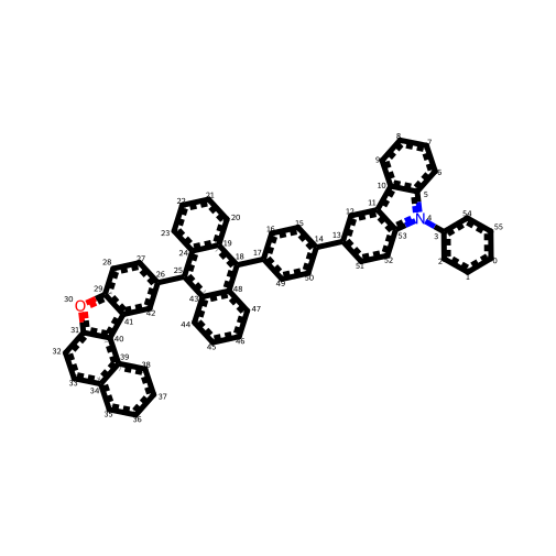 c1ccc(-n2c3ccccc3c3cc(-c4ccc(-c5c6ccccc6c(-c6ccc7oc8ccc9ccccc9c8c7c6)c6ccccc56)cc4)ccc32)cc1